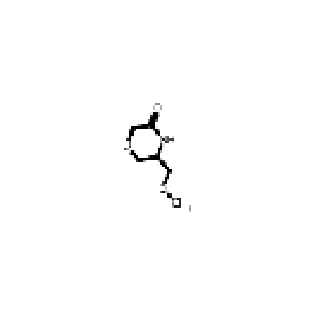 COCC1COCC(=O)N1